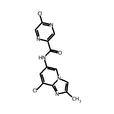 Cc1cn2cc(NC(=O)c3cnc(Cl)cn3)cc(Cl)c2n1